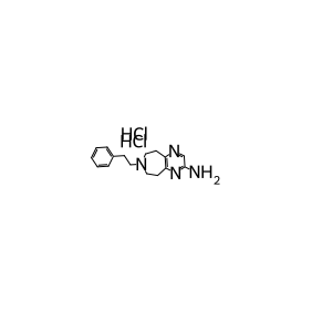 Cl.Cl.Nc1cnc2c(n1)CCN(CCc1ccccc1)CC2